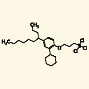 CCCCCCC(CCC)c1ccc(OCCC[Si](Cl)(Cl)Cl)c(C2CCCCC2)c1